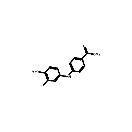 COC(=O)c1ccc(Nc2ccc(OC)c(Cl)c2)cc1